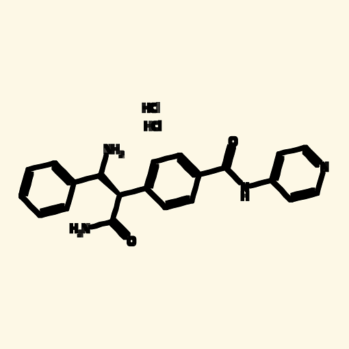 Cl.Cl.NC(=O)[C@H](c1ccc(C(=O)Nc2ccncc2)cc1)C(N)c1ccccc1